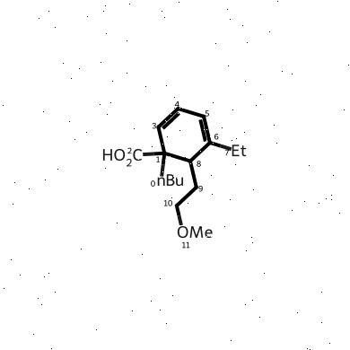 CCCCC1(C(=O)O)C=CC=C(CC)C1CCOC